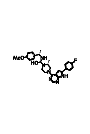 COc1ccc([C@H](C)NC(O)N2CCN(c3ncnc4[nH]c(-c5ccc(F)cc5)cc34)C[C@H]2C)cc1